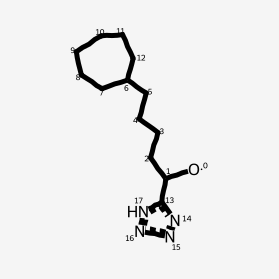 [O]C(CCCCC1CCCCCC1)c1nnn[nH]1